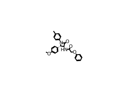 COc1ccc([C@H]2[C@@H](NC(=O)COc3ccccc3)C(=O)N2c2ccc(C)cc2)cc1